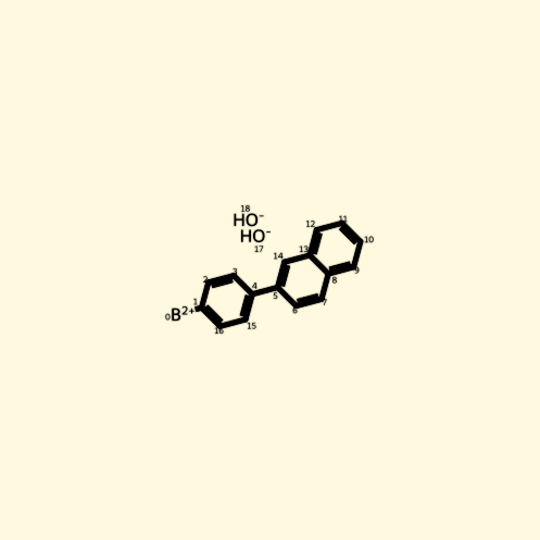 [B+2]c1ccc(-c2ccc3ccccc3c2)cc1.[OH-].[OH-]